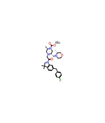 C[C@@H]1COCCN1C[C@H]1CN(C(=O)OC(C)(C)C)[C@H](C)CN1CC(=O)N1CC(C)(C)c2ccc(Cc3ccc(F)cc3)cc21